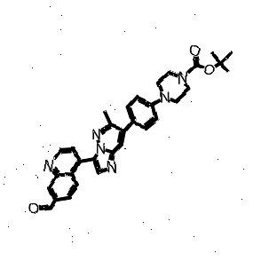 Cc1nn2c(-c3ccnc4cc(C=O)ccc34)cnc2cc1-c1ccc(N2CCN(C(=O)OC(C)(C)C)CC2)cc1